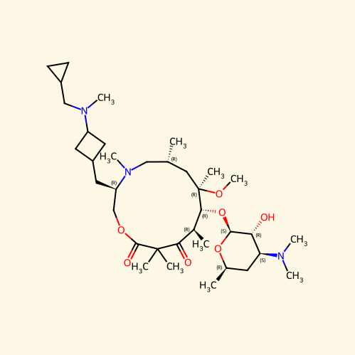 CO[C@]1(C)C[C@@H](C)CN(C)[C@H](CC2CC(N(C)CC3CC3)C2)COC(=O)C(C)(C)C(=O)[C@H](C)[C@H]1O[C@@H]1O[C@H](C)C[C@H](N(C)C)[C@H]1O